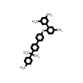 Cc1ccc(C(C)(C)c2ccc(-c3ccc(Oc4ccc(C)cc4-c4cc(C)cc(C)c4)cc3)cc2)cc1